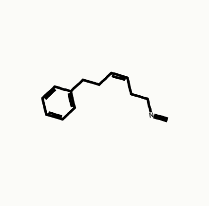 C=NCC/C=C\CCc1ccccc1